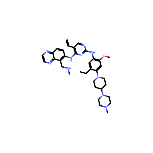 C=Cc1cnc(Nc2cc(CC)c(N3CCC(N4CCN(C)CC4)CC3)cc2OC)nc1Nc1ccc2nccnc2c1CNC